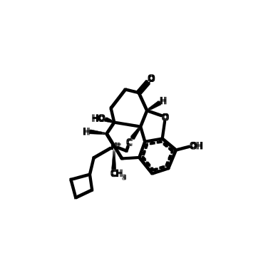 C[N@+]1(CC2CCC2)CC[C@]23c4c5ccc(O)c4O[C@H]2C(=O)CC[C@@]3(O)[C@H]1C5